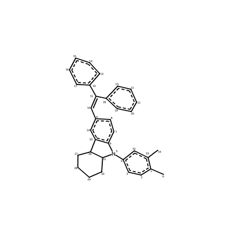 Cc1ccc(N2c3ccc(C=C(c4ccccc4)c4ccccc4)cc3C3CCCCC32)cc1C